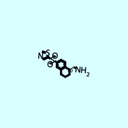 NC[C@@H]1CCCc2cc(S(=O)(=O)c3cncs3)ccc21